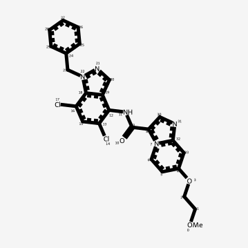 COCCOc1ccn2c(C(=O)Nc3c(Cl)cc(Cl)c4c3cnn4Cc3ccccc3)cnc2c1